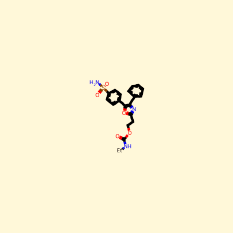 CCNC(=O)OCCc1nc(-c2ccccc2)c(-c2ccc(S(N)(=O)=O)cc2)o1